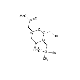 C=C1C[C@@H](CC(=O)OC)O[C@H](CO)[C@H]1O[Si](C)(C)C(C)(C)C